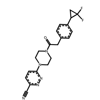 N#Cc1ccc(N2CCN(C(=O)Cc3ccc(C4CC4(F)F)cc3)CC2)nn1